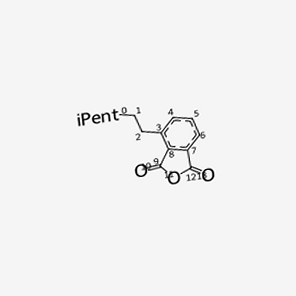 CCCC(C)CCc1cccc2c1C(=O)OC2=O